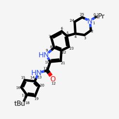 CC(C)N1CCC(c2ccc3[nH]c(C(=O)Nc4ccc(C(C)(C)C)cc4)cc3c2)CC1